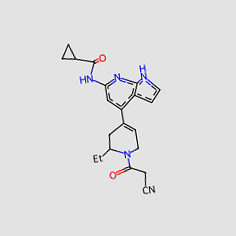 CCC1CC(c2cc(NC(=O)C3CC3)nc3[nH]ccc23)=CCN1C(=O)CC#N